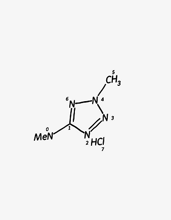 CNc1nnn(C)n1.Cl